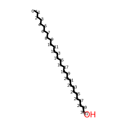 [CH2]CCCCCCCCCCCCCCCCCCCCCCCCCCCCCCO